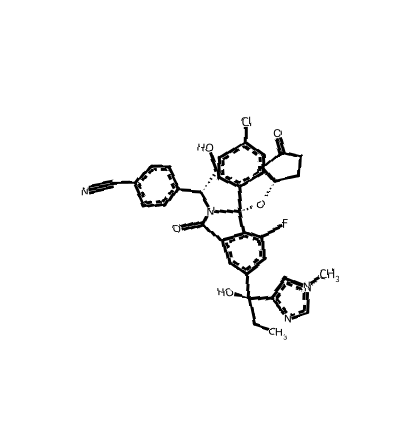 CC[C@](O)(c1cc(F)c2c(c1)C(=O)N([C@@H](CO)c1ccc(C#N)cc1)[C@@]2(O[C@H]1CCC(=O)C1)c1ccc(Cl)cc1)c1cn(C)cn1